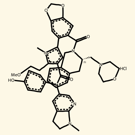 COCCc1c(C(=O)N(c2ccc(O)cc2)c2cnc3c(c2)CCN3C)cc(-c2cc3c(cc2C(=O)N2Cc4ccccc4C[C@H]2CN2CCOCC2)OCO3)n1C.Cl